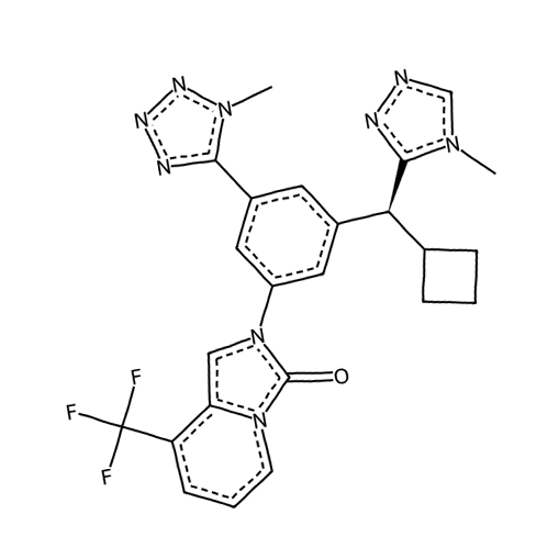 Cn1cnnc1[C@H](c1cc(-c2nnnn2C)cc(-n2cc3c(C(F)(F)F)cccn3c2=O)c1)C1CCC1